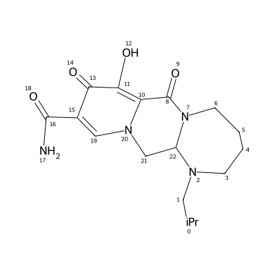 CC(C)CN1CCCCN2C(=O)c3c(O)c(=O)c(C(N)=O)cn3CC12